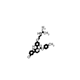 Cc1ccc(OC(=O)N2CCc3c([nH]c4ccc(Cl)cc34)C2c2ccc(OCCCNC(C)C)cc2)cc1